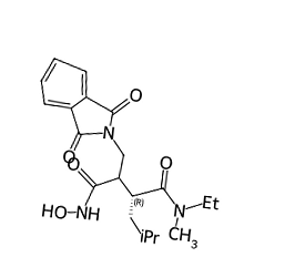 CCN(C)C(=O)[C@H](CC(C)C)C(CN1C(=O)c2ccccc2C1=O)C(=O)NO